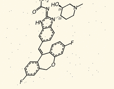 CN1CC[C@H](n2c(=NC(N)=O)[nH]c3cc(C=C4c5ccc(F)cc5COc5cc(F)ccc54)ccc32)[C@@H](O)C1